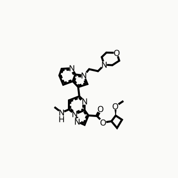 CNc1cc(-c2cn(CCN3CCOCC3)c3ncccc23)nc2c(C(=O)OC3CC[C@@H]3OC)cnn12